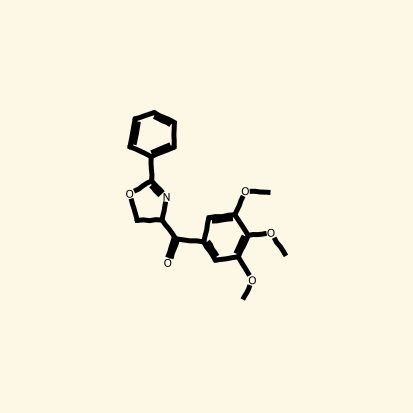 COc1cc(C(=O)C2COC(c3ccccc3)=N2)cc(OC)c1OC